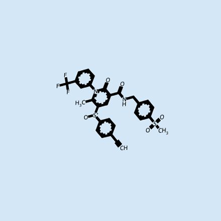 C#Cc1ccc([S+]([O-])c2cc(C(=O)NCc3ccc(S(C)(=O)=O)cc3)c(=O)n(-c3cccc(C(F)(F)F)c3)c2C)cc1